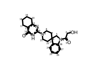 O=C(CO)N1CC2(CCN(c3nc4c(c(=O)[nH]3)CCCC4)CC2)c2ccccc21